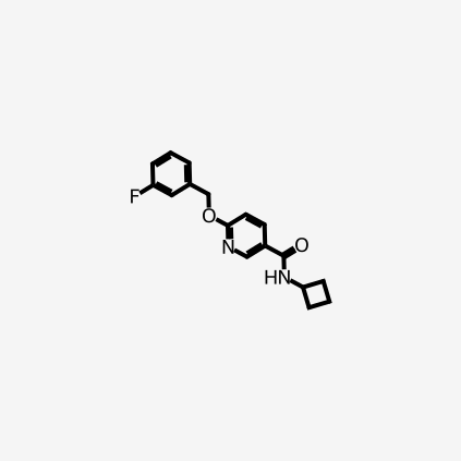 O=C(NC1CCC1)c1ccc(OCc2cccc(F)c2)nc1